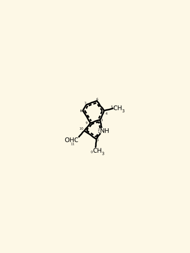 Cc1[nH]c2c(C)cccc2c1C=O